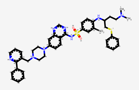 CN(C)CCC(CSc1ccccc1)Nc1ccc(S(=O)(=O)Nc2ncnc3cc(N4CCN(Cc5cccnc5-c5ccccc5)CC4)ccc23)cc1[N+](=O)[O-]